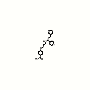 O=C(O)c1ccc(OCCCNC(CCc2cccnc2)c2ccncc2)cc1